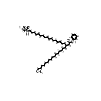 CCCCCCCCCCCCCCCCCC(CCCCCCCCCCCCCCCCCNS(C)(=O)=O)CC(=O)Nc1ccccc1